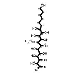 O=C(O)C(O)C(O)C(O)C(O)C(O)C(O)C(O)C(O)C(O)C(O)C(O)CCCCCCO.[CaH2]